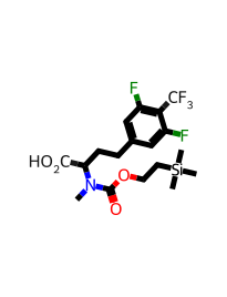 CN(C(=O)OCC[Si](C)(C)C)C(CCc1cc(F)c(C(F)(F)F)c(F)c1)C(=O)O